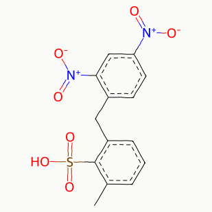 Cc1cccc(Cc2ccc([N+](=O)[O-])cc2[N+](=O)[O-])c1S(=O)(=O)O